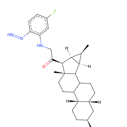 C[C@H]1CC[C@@H]2C3CC[C@@]4(C)C(C3CC[C@@H]2C1)[C@@H]1[C@H](C)[C@@H]1[C@@H]4C(=O)CNc1cc(F)ccc1N=N